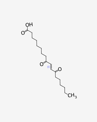 CCCCCCC(=O)/C=C/C(=O)CCCCCCCC(=O)O